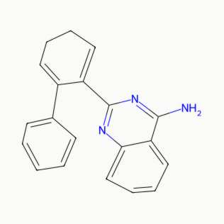 Nc1nc(C2=CCCC=C2c2ccccc2)nc2ccccc12